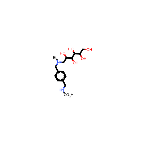 CCN(Cc1ccc(CNC(=O)O)cc1)CC(O)C(O)C(O)C(O)CO